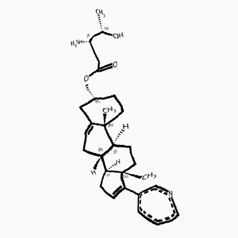 C[C@H](O)[C@@H](N)C(=O)O[C@@H]1CC[C@@]2(C)C(=CC[C@@H]3[C@@H]2CC[C@]2(C)C(c4cccnc4)=CC[C@@H]32)C1